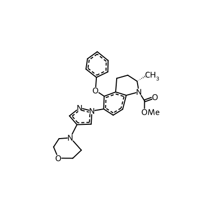 COC(=O)N1c2ccc(-n3cc(N4CCOCC4)cn3)c(Oc3ccccc3)c2CC[C@@H]1C